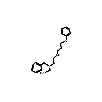 CCN(CCNCCCSc1ccccc1)Cc1ccccc1